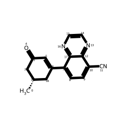 C[C@@H]1CC(=O)C=C(c2ccc(C#N)c3nccnc23)C1